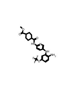 COC(=O)C1CCC(C(=O)Nc2ccc(Nc3cc(OC(F)(F)F)ccc3N)cn2)CC1